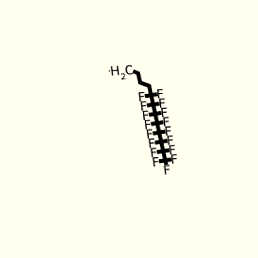 [CH2]CCCC(F)(F)C(F)(F)C(F)(F)C(F)(F)C(F)(F)C(F)(F)C(F)(F)C(F)(F)F